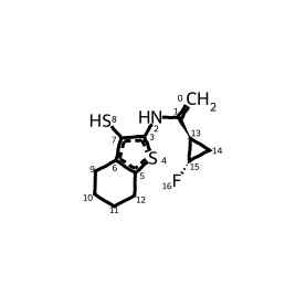 C=C(Nc1sc2c(c1S)CCCC2)[C@H]1C[C@@H]1F